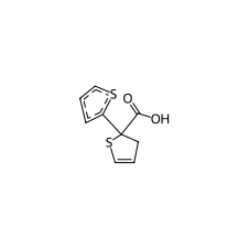 O=C(O)C1(c2cccs2)CC=CS1